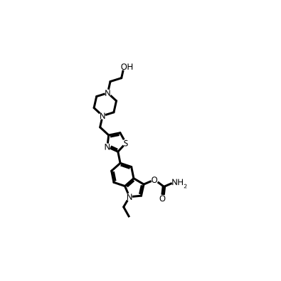 CCn1cc(OC(N)=O)c2cc(-c3nc(CN4CCN(CCO)CC4)cs3)ccc21